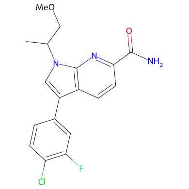 COCC(C)n1cc(-c2ccc(Cl)c(F)c2)c2ccc(C(N)=O)nc21